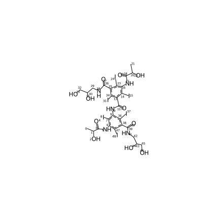 CC(O)C(=O)Nc1c(I)c(NC(=O)c2c(I)c(NC(=O)C(C)O)c(I)c(C(=O)NCC(O)CO)c2I)c(I)c(C(=O)NCC(O)CO)c1I